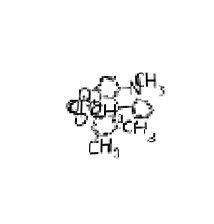 Cc1cc(C)c(C2c3ccccc3N(C)c3cccc(O[Cl+3]([O-])([O-])[O-])c32)c(C)c1